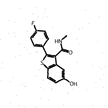 CNC(=O)c1c(-c2ccc(F)cc2)sc2ccc(O)cc12